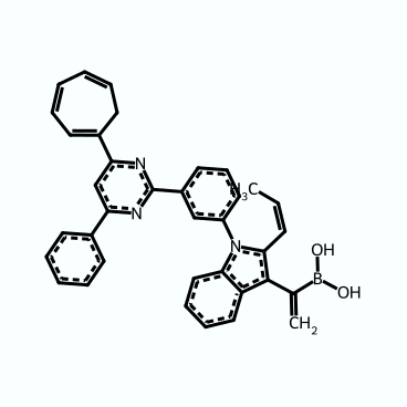 C=C(B(O)O)c1c(/C=C\C)n(-c2cccc(-c3nc(C4=CC=CC=CC4)cc(-c4ccccc4)n3)c2)c2ccccc12